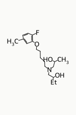 CCC(O)CN(CCCCCOc1cc(C)ccc1F)CC(C)O